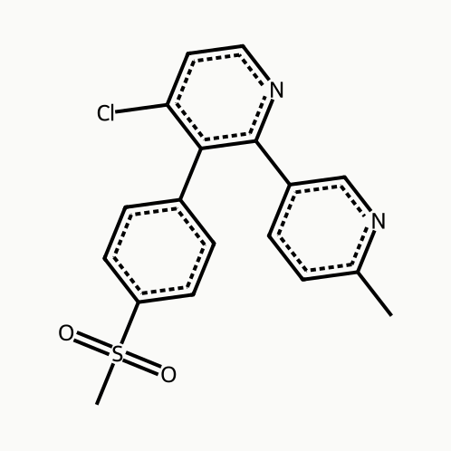 Cc1ccc(-c2nccc(Cl)c2-c2ccc(S(C)(=O)=O)cc2)cn1